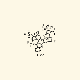 COc1ccc2c(=O)n(-c3ccc(Cl)c4c(NS(=O)(=O)C5CC5)nn(CC(F)F)c34)c(C(Cc3cc(F)cc(F)c3)NC(=O)Cn3nc(C(F)F)c4c3C(F)(F)[C@@H]3C[C@H]43)nc2c1